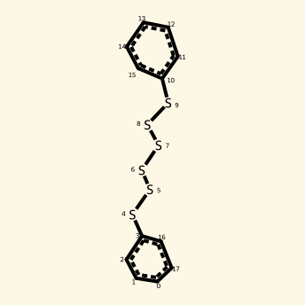 c1ccc(SSSSSSc2ccccc2)cc1